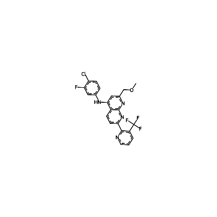 COCc1cc(Nc2ccc(Cl)c(F)c2)c2ccc(-c3ncccc3C(F)(F)F)nc2n1